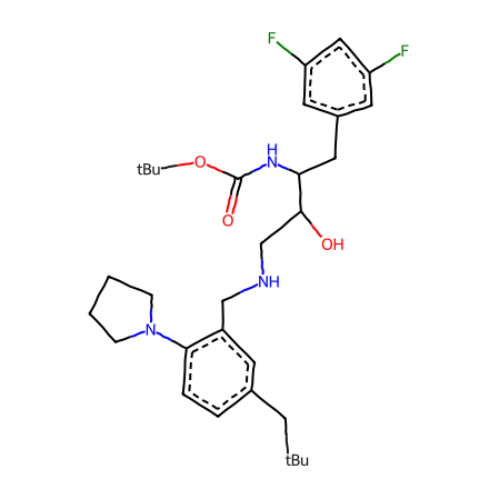 CC(C)(C)Cc1ccc(N2CCCC2)c(CNCC(O)C(Cc2cc(F)cc(F)c2)NC(=O)OC(C)(C)C)c1